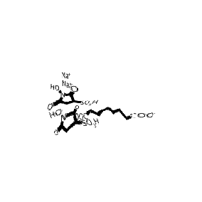 O=C([O-])CCCCCCC(=O)[O-].O=C1CC(S(=O)(=O)O)C(=O)N1O.O=C1CC(S(=O)(=O)O)C(=O)N1O.[Na+].[Na+]